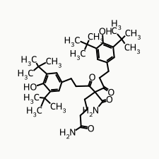 CC(C)(C)c1cc(CCC(=O)C(CCCC(N)=O)(C(N)=O)C(=O)CCc2cc(C(C)(C)C)c(O)c(C(C)(C)C)c2)cc(C(C)(C)C)c1O